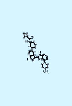 CN1CCN(c2cncc3[nH]c(-c4n[nH]c5ncc(-c6cncc(NC(=O)C7CCC7)c6)cc45)nc23)CC1